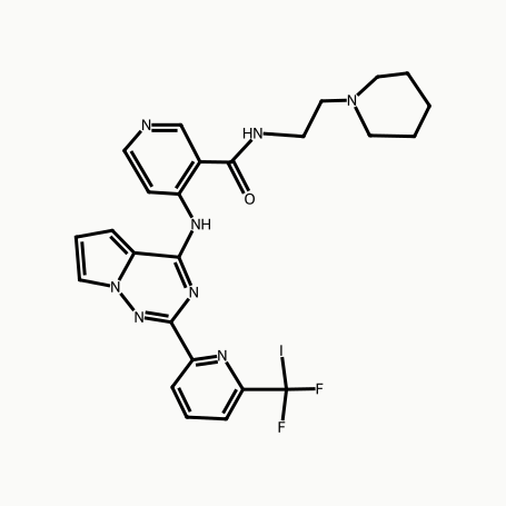 O=C(NCCN1CCCCC1)c1cnccc1Nc1nc(-c2cccc(C(F)(F)I)n2)nn2cccc12